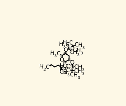 C=CCCC(C)O[C@@H]1O[C@@H](C)[C@H](O[Si](C)(C)C(C)(C)C)C[C@H]1O[Si](C)(C)C(C)(C)C